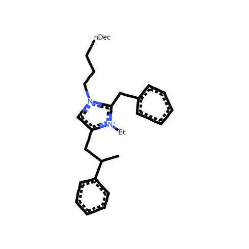 CCCCCCCCCCCCCn1cc(CC(C)c2ccccc2)[n+](CC)c1Cc1ccccc1